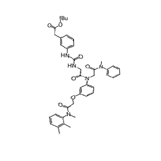 Cc1cccc(N(C)C(=O)COc2cccc(N(CC(=O)N(C)c3ccccc3)C(=O)CNC(=O)Nc3cccc(CC(=O)OC(C)(C)C)c3)c2)c1C